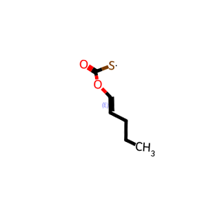 CCC/C=C/OC(=O)[S]